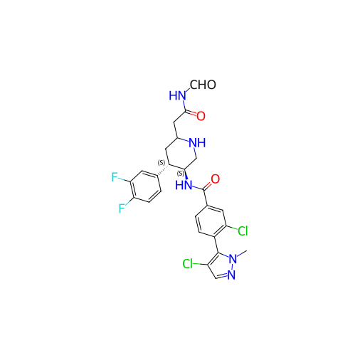 Cn1ncc(Cl)c1-c1ccc(C(=O)N[C@@H]2CNC(CC(=O)NC=O)C[C@H]2c2ccc(F)c(F)c2)cc1Cl